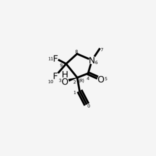 C#C[C@@]1(O)C(=O)N(C)CC1(F)F